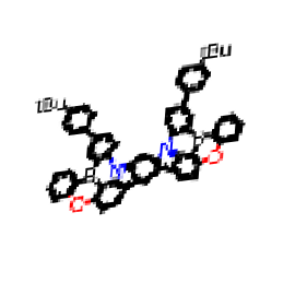 CC(C)(C)c1ccc(-c2ccc3c(c2)B2c4ccccc4Oc4ccc5c6cc7c8ccc9c%10c8n(c7cc6n-3c5c42)-c2ccc(-c3ccc(C(C)(C)C)cc3)cc2B%10c2ccccc2O9)cc1